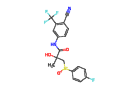 CC(O)(C[S+]([O-])c1ccc(F)cc1)C(=O)Nc1ccc(C#N)c(C(F)(F)F)c1